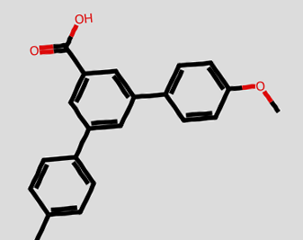 COc1ccc(-c2cc(C(=O)O)cc(-c3ccc(C)cc3)c2)cc1